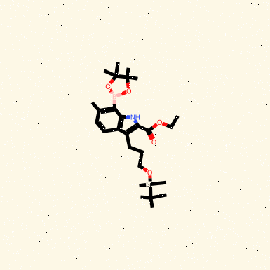 CCOC(=O)c1[nH]c2c(B3OC(C)(C)C(C)(C)O3)c(C)ccc2c1CCCO[Si](C)(C)C(C)(C)C